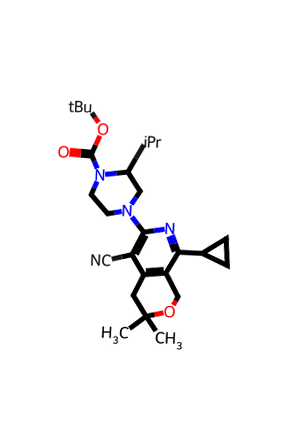 CC(C)C1CN(c2nc(C3CC3)c3c(c2C#N)CC(C)(C)OC3)CCN1C(=O)OC(C)(C)C